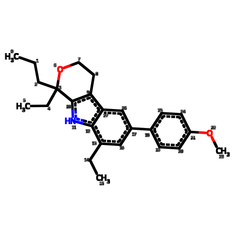 CCCC1(CC)OCCc2c1[nH]c1c(CC)cc(-c3ccc(OC)cc3)cc21